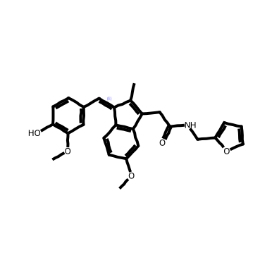 COc1ccc2c(c1)C(CC(=O)NCc1ccco1)=C(C)/C2=C/c1ccc(O)c(OC)c1